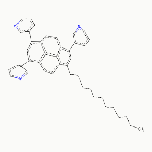 CCCCCCCCCCCCc1cc(-c2cccnc2)c2ccc3c(-c4cccnc4)cc(-c4cccnc4)c4ccc1c2c43